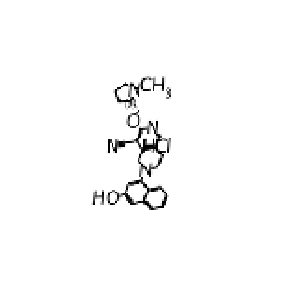 CN1CCC[C@H]1COc1ncc2c(c1C#N)CN(c1cc(O)cc3ccccc13)CC2.Cl